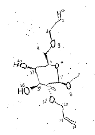 C=CCOC[C@H]1O[C@@H](OC)[C@H](OCC=C)[C@@H](O)[C@H]1O